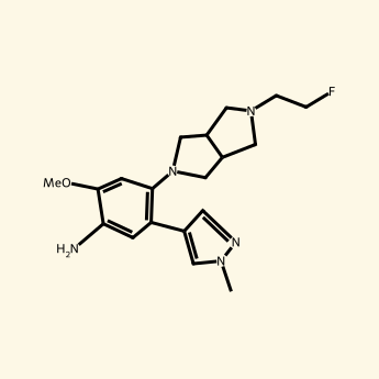 COc1cc(N2CC3CN(CCF)CC3C2)c(-c2cnn(C)c2)cc1N